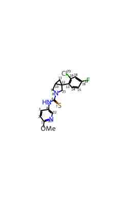 COc1ccc(NC(=S)N2CC3CC3(c3ccc(F)cc3Cl)C2)cn1